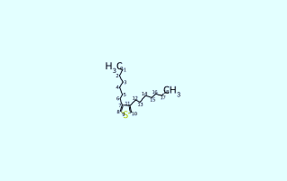 CCCCCCCc1cscc1CCCCCCC